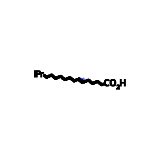 CC(C)CCCCCCC/C=C/CCCCC(=O)O